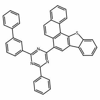 c1ccc(-c2cccc(-c3nc(-c4ccccc4)nc(-c4cc5c6ccccc6sc5c5c4ccc4ccccc45)n3)c2)cc1